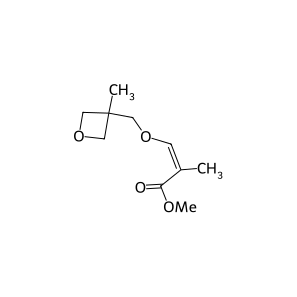 COC(=O)C(C)=COCC1(C)COC1